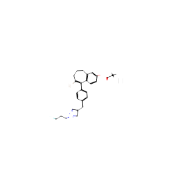 CC(C)(C)C(=O)Oc1ccc2c(c1)CCCC(Br)=C2c1ccc(CC2CN(CCCF)C2)cc1